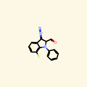 [N-]=[N+]=C1c2cccc(F)c2N(c2ccccc2)C1C=O